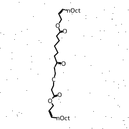 CCCCCCCC/C=C\COC(=O)CCCCCC(=O)CCCCCC(=O)OC/C=C\CCCCCCCC